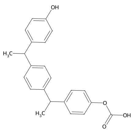 CC(c1ccc(O)cc1)c1ccc(C(C)c2ccc(OC(=O)O)cc2)cc1